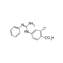 NC(=Nc1ccccc1)Nc1ccc(C(=O)O)c(Cl)c1